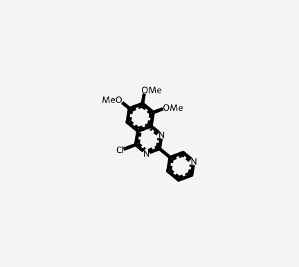 COc1cc2c(Cl)nc(-c3cccnc3)nc2c(OC)c1OC